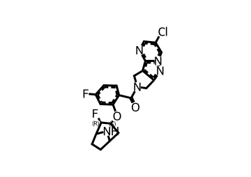 O=C(c1ccc(F)cc1O[C@H]1CC2CCC(N2)[C@H]1F)N1Cc2nn3cc(Cl)cnc3c2C1